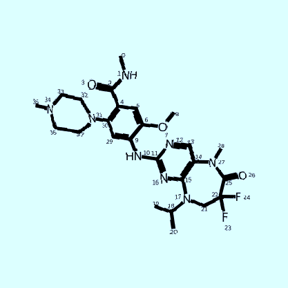 CNC(=O)c1cc(OC)c(Nc2ncc3c(n2)N(C(C)C)CC(F)(F)C(=O)N3C)cc1N1CCN(C)CC1